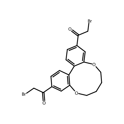 O=C(CBr)c1ccc2c(c1)OCCCCOc1cc(C(=O)CBr)ccc1-2